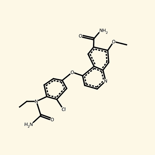 CCN(C(N)=O)c1ccc(Oc2ccnc3cc(OC)c(C(N)=O)cc23)cc1Cl